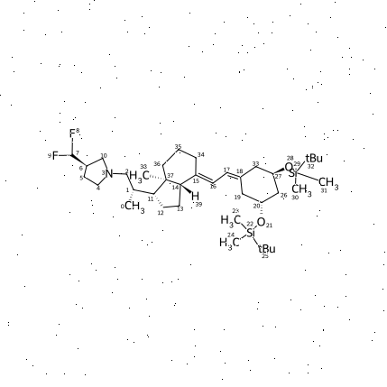 C[C@H](CN1CC[C@@H](C(F)F)C1)[C@H]1CC[C@H]2/C(=C/C=C3C[C@@H](O[Si](C)(C)C(C)(C)C)C[C@H](O[Si](C)(C)C(C)(C)C)C3)CCC[C@]12C